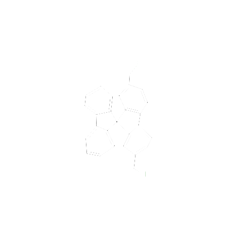 ClCc1ccc2c(c1)C1(c3ccccc3-c3ccccc31)c1cc(CCl)ccc1-2